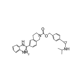 CC(C)NC1CC1c1ccc(COC(=O)N2CCc3cc(C(=O)Nc4ccccc4N)ccc3C2)cc1